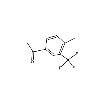 CC(=O)c1ccc(C)c(C(F)(F)F)c1